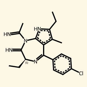 CCc1[nH]c2c(c1C)C(c1ccc(Cl)cc1)=N[C@@H](CC)C(=N)N2C(C)=N